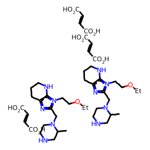 CCOCCn1c(CN2CCNCC2C)nc2c1NCCC2.CCOCCn1c(CN2CCNCC2C)nc2c1NCCC2.O=C(O)C=CC(=O)O.O=C(O)C=CC(=O)O.O=C(O)C=CC(=O)O